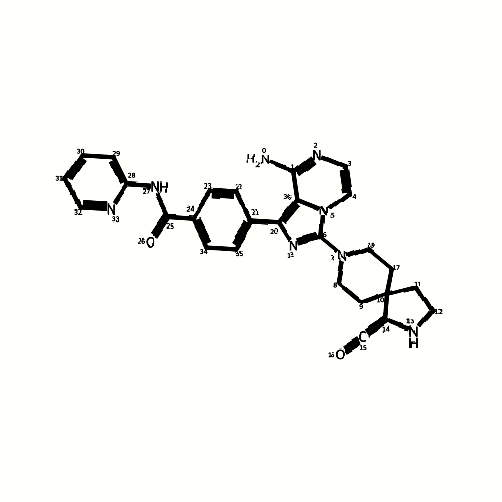 Nc1nccn2c(N3CCC4(CCNC4=C=O)CC3)nc(-c3ccc(C(=O)Nc4ccccn4)cc3)c12